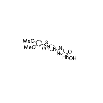 COc1ccc(S(=O)(=O)N2CCN(c3ncc(C(=O)NO)cn3)CC2)cc1OC